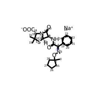 CC1(O/N=C(\C(=O)N[C@@H]2C(=O)N3[C@@H]2SC(C)(C)[C@@H]3C(=O)[O-])c2ccccc2)CCCC1.[Na+]